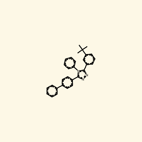 CC(C)(C)c1cccc(-c2nnc(-c3ccc(-c4ccccc4)cc3)n2-c2ccccc2)c1